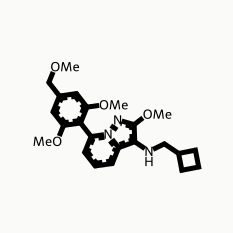 COCc1cc(OC)c(-c2cccc3c(NCC4CCC4)c(OC)nn23)c(OC)c1